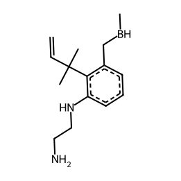 C=CC(C)(C)c1c(CBC)cccc1NCCN